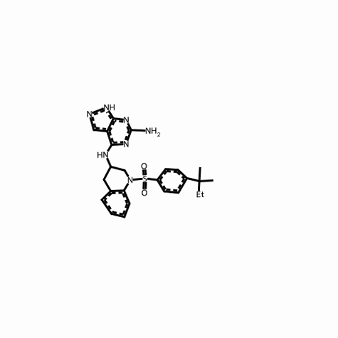 CCC(C)(C)c1ccc(S(=O)(=O)N2CC(Nc3nc(N)nc4[nH]ncc34)Cc3ccccc32)cc1